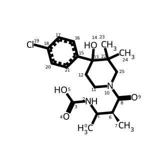 CC(NC(=O)O)[C@H](C)C(=O)N1CCC(O)(c2ccc(Cl)cc2)C(C)(C)C1